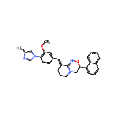 COc1cc(/C=C2\CCCN3CC(c4cccc5ccccc45)ON=C23)ccc1-n1cnc(C)c1